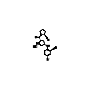 Cl.N#Cc1cc(Br)ccc1N[C@@H]1CN[C@H](C(=O)N2CCC[C@H]2C#N)C1